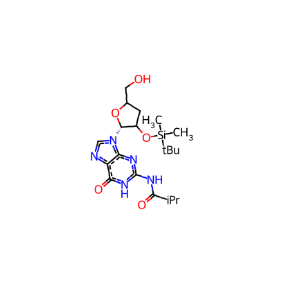 CC(C)C(=O)Nc1nc2c(ncn2[C@@H]2OC(CO)CC2O[Si](C)(C)C(C)(C)C)c(=O)[nH]1